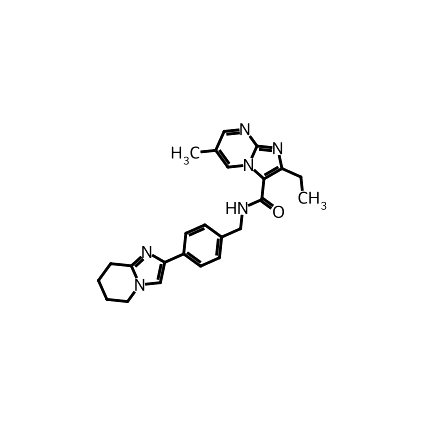 CCc1nc2ncc(C)cn2c1C(=O)NCc1ccc(-c2cn3c(n2)CCCC3)cc1